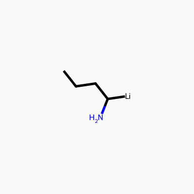 [Li][CH](N)CCC